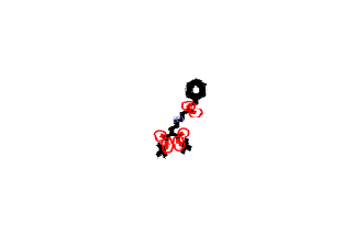 CC(C)(C)OC(=O)C(CC/C=C/CC(=O)OCc1ccccc1)C(=O)OC(C)(C)C